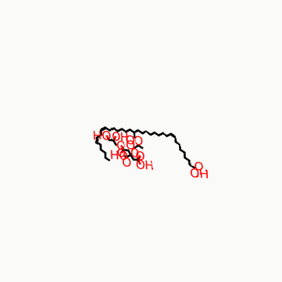 CCCCC/C=C\C/C=C\CCCCCCC(CCCCCCCC/C=C\CCCCCCCC(=O)O)C(=O)OC(C)C(=O)OC(CC(=O)O)(CC(=O)OCC(O)CO)C(=O)O